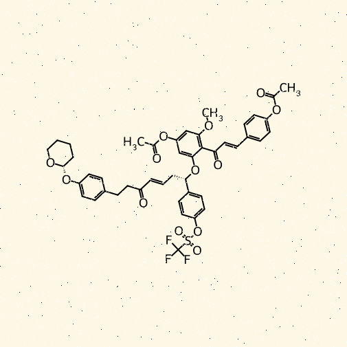 COc1cc(OC(C)=O)cc(O[C@@H](C/C=C/C(=O)CCc2ccc(O[C@H]3CCCCO3)cc2)c2ccc(OS(=O)(=O)C(F)(F)F)cc2)c1C(=O)/C=C/c1ccc(OC(C)=O)cc1